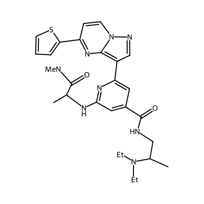 CCN(CC)C(C)CNC(=O)c1cc(NC(C)C(=O)NC)nc(-c2cnn3ccc(-c4cccs4)nc23)c1